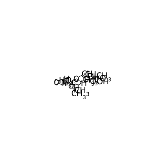 CC(C)C1=C2[C@H]3CC[C@@H]4[C@@]5(C)CC[C@H](OC(=O)CC(C)(C)C(=O)O)C(C)(C)C5CC[C@@]4(C)[C@]3(C)CCC2(C(O)CN2CCc3ccccc3C2)CC1